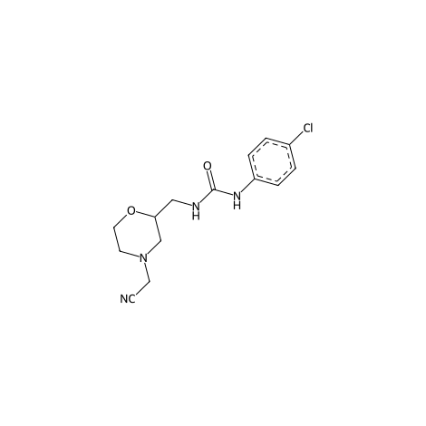 N#CCN1CCOC(CNC(=O)Nc2ccc(Cl)cc2)C1